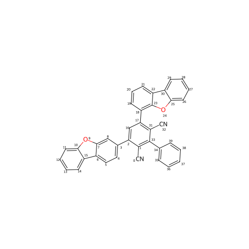 N#Cc1c(-c2ccc3c(c2)oc2ccccc23)cc(-c2cccc3c2oc2ccccc23)c(C#N)c1-c1ccccc1